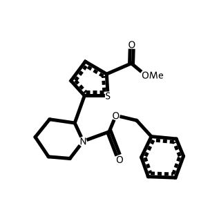 COC(=O)c1ccc(C2CCCCN2C(=O)OCc2ccccc2)s1